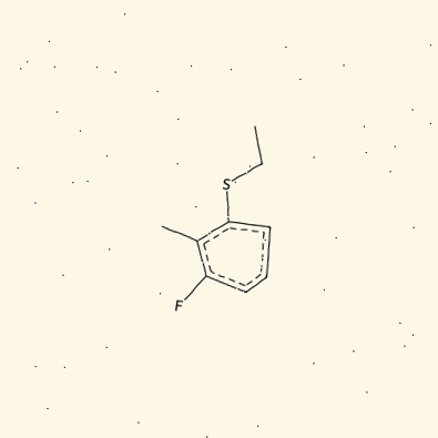 CCSc1cccc(F)c1C